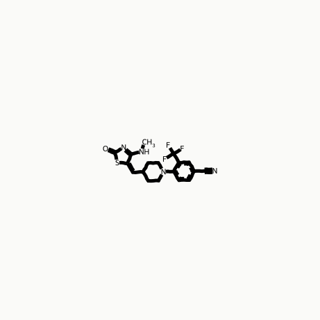 CNC1=NC(=O)SC1=CC1CCN(c2ccc(C#N)cc2C(F)(F)F)CC1